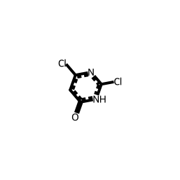 O=c1cc(Cl)nc(Cl)[nH]1